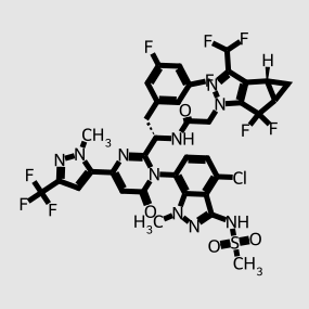 Cn1nc(C(F)(F)F)cc1-c1cc(=O)n(-c2ccc(Cl)c3c(NS(C)(=O)=O)nn(C)c23)c([C@H](Cc2cc(F)cc(F)c2)NC(=O)Cn2nc(C(F)F)c3c2C(F)(F)C2C[C@@H]32)n1